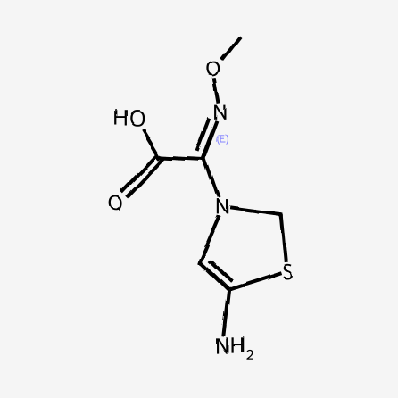 CO/N=C(\C(=O)O)N1C=C(N)SC1